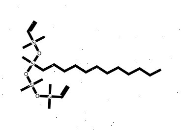 C=C[Si](C)(C)O[Si](C)(C)O[Si](C)(CCCCCCCCCCCC)O[Si](C)(C)C=C